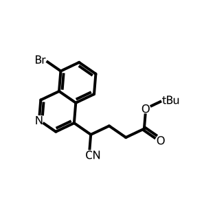 CC(C)(C)OC(=O)CCC(C#N)c1cncc2c(Br)cccc12